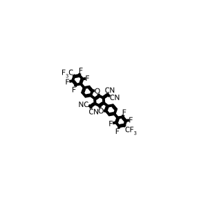 N#CC(C#N)=c1c2oc3cc(-c4c(F)c(F)c(C(F)(F)F)c(F)c4F)ccc3c2c(=C(C#N)C#N)c2oc3cc(-c4c(F)c(F)c(C(F)(F)F)c(F)c4F)ccc3c12